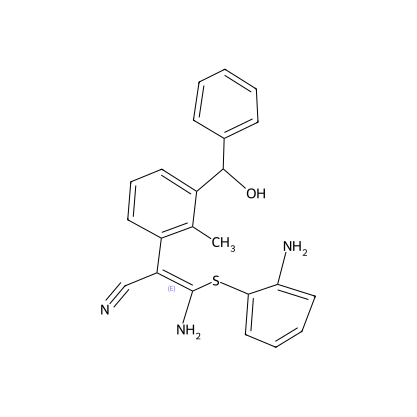 Cc1c(/C(C#N)=C(/N)Sc2ccccc2N)cccc1C(O)c1ccccc1